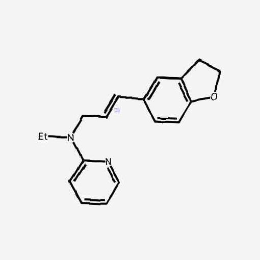 CCN(C/C=C/c1ccc2c(c1)CCO2)c1ccccn1